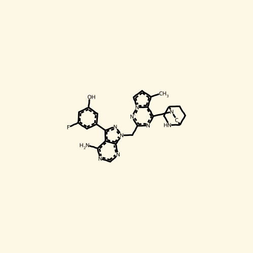 Cc1ccn2nc(Cn3nc(-c4cc(O)cc(F)c4)c4c(N)ncnc43)nc(N3CC4CCC3CN4)c12